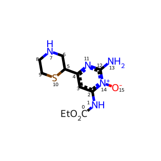 CCOC(=O)Nc1cc(C2CNCCS2)nc(N)[n+]1[O-]